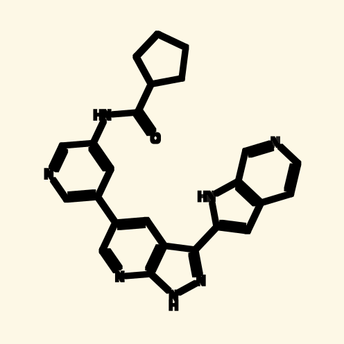 O=C(Nc1cncc(-c2cnc3[nH]nc(-c4cc5ccncc5[nH]4)c3c2)c1)C1CCCC1